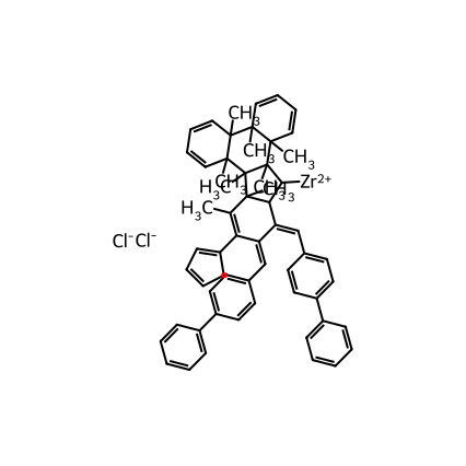 CC1=C(C2=CC=CC2)C(=Cc2ccc(-c3ccccc3)cc2)C(=Cc2ccc(-c3ccccc3)cc2)C2[CH]([Zr+2])C3(C)C4(C)C=CC=CC4(C)C4(C)C=CC=CC4(C)C3(C)C12C.[Cl-].[Cl-]